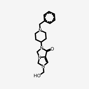 O=C1C2=CN(CO)CN2CN1C1CCN(Cc2ccccc2)CC1